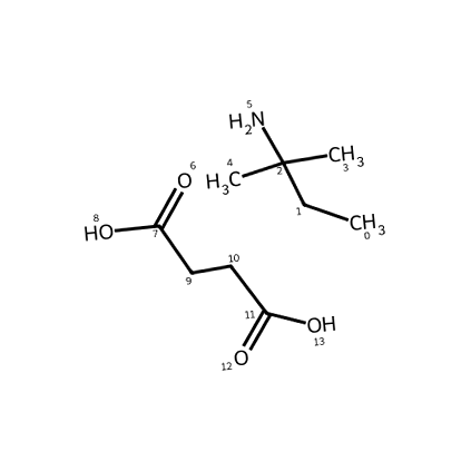 CCC(C)(C)N.O=C(O)CCC(=O)O